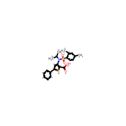 Cc1ccc(S(=O)(=O)N(c2cc(-c3ccccc3)sc2C(=O)O)C(C)C)c(C)c1